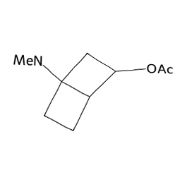 CNC12CCC1C(OC(C)=O)C2